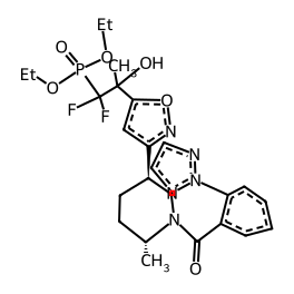 CCOP(=O)(OCC)C(F)(F)C(C)(O)c1cc([C@@H]2CC[C@@H](C)N(C(=O)c3ccccc3-n3nccn3)C2)no1